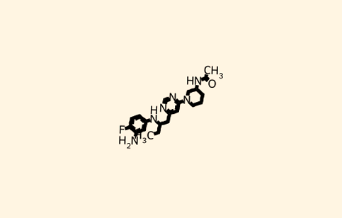 CCC(Cc1cc(N2CCCC(NC(C)=O)C2)ncn1)Nc1ccc(F)c(N)c1